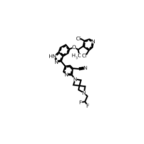 CC(Oc1ccc2[nH]nc(-c3cnc(N4CC5(CN(CC(F)F)C5)C4)c(C#N)c3)c2c1)c1c(Cl)cncc1Cl